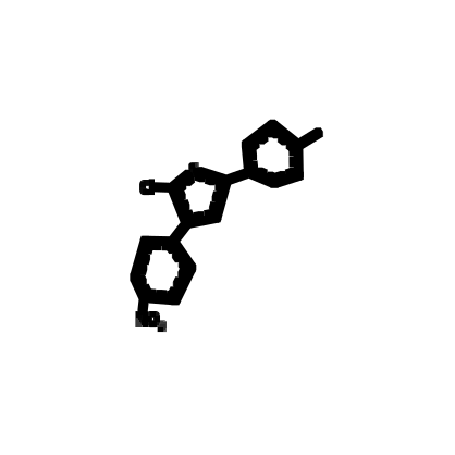 Cc1ccc(-c2cc(-c3ccc([N+](=O)[O-])cc3)c(Cl)s2)cc1